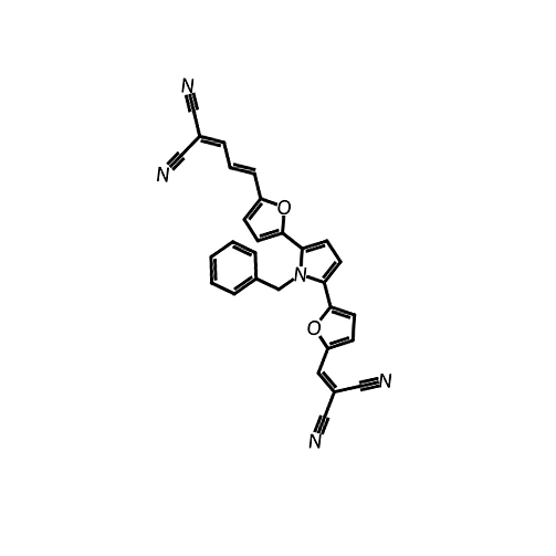 N#CC(C#N)=C/C=C/c1ccc(-c2ccc(-c3ccc(C=C(C#N)C#N)o3)n2Cc2ccccc2)o1